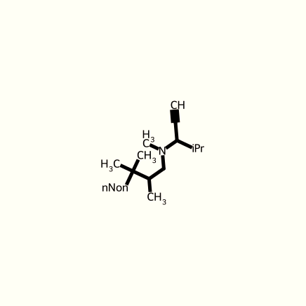 C#CC(C(C)C)N(C)CC(C)C(C)(C)CCCCCCCCC